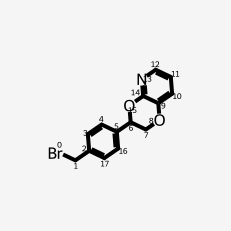 BrCc1ccc(C2COc3cccnc3O2)cc1